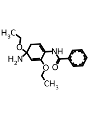 CCOC1=CC(N)(OCC)CC=C1NC(=O)c1ccccc1